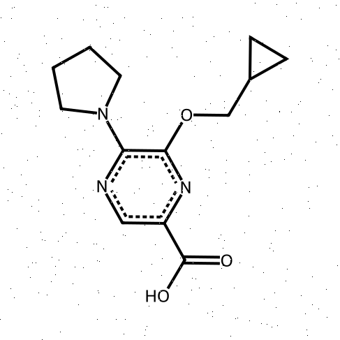 O=C(O)c1cnc(N2CCCC2)c(OCC2CC2)n1